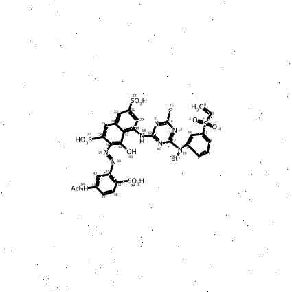 C=CS(=O)(=O)c1cccc(N(CC)c2nc(F)nc(Nc3cc(S(=O)(=O)O)cc4cc(S(=O)(=O)O)c(N=Nc5cc(NC(C)=O)ccc5S(=O)(=O)O)c(O)c34)n2)c1